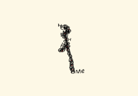 CC[C@@]1(O)C(=O)OCc2c1cc1n(c2=O)Cc2cc3c4c(c(F)cc3nc2-1)OCN(CCNC(=O)CCCNC(=O)[C@H](CCC(=O)NCCOCCOCCOCCOCCOCCOCCOCCOC)NC(=O)CCCN1C(=O)C=CC1=O)C4